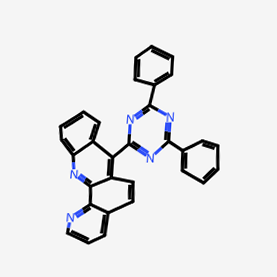 c1ccc(-c2nc(-c3ccccc3)nc(-c3c4ccccc4nc4c3ccc3cccnc34)n2)cc1